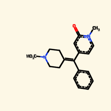 Cn1ccc(C(=C2CCN(C(=O)O)CC2)c2ccccc2)cc1=O